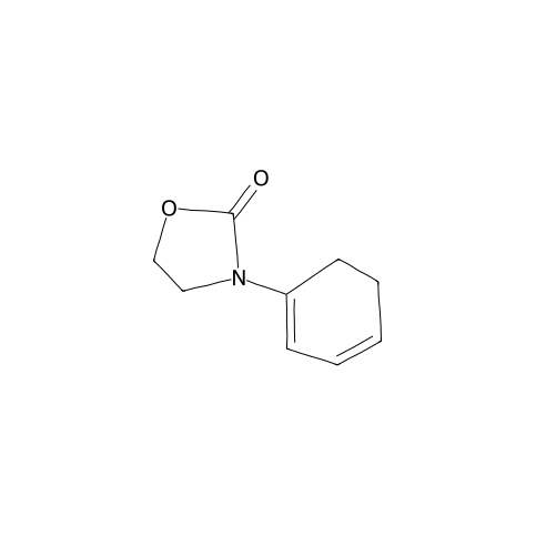 O=C1OCCN1C1=CC=CCC1